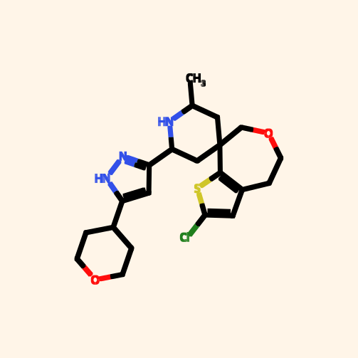 CC1CC2(COCCc3cc(Cl)sc32)CC(c2cc(C3CCOCC3)[nH]n2)N1